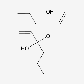 C=CC(O)(CCC)OC(O)(C=C)CCC